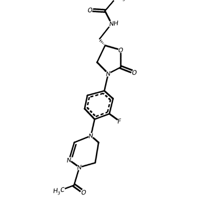 CC(=O)NC[C@H]1CN(c2ccc(N3C=NN(C(C)=O)CC3)c(F)c2)C(=O)O1